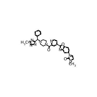 Cn1nnc(C(c2ccccc2)N2CCN(C(=O)c3cc(-c4nc5cc(-n6ccn(C)c6=O)ccc5o4)ccn3)CC2)n1